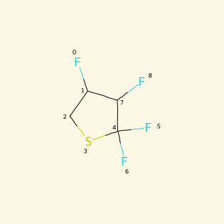 FC1CSC(F)(F)C1F